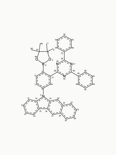 CC1(C)OB(c2ccc(-n3c4ccccc4c4cc5ccccc5cc43)cc2-c2nc(-c3ccccc3)nc(-c3ccccc3)n2)OC1(C)C